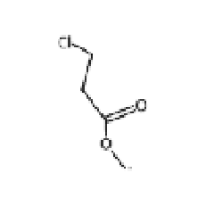 [CH2]OC(=O)CCCl